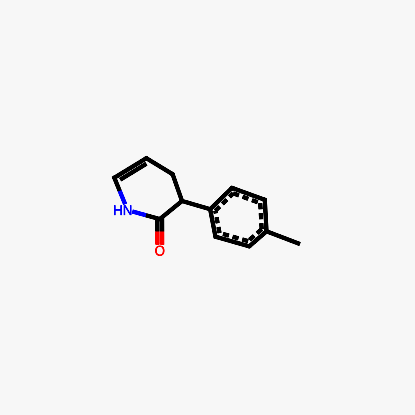 Cc1ccc(C2CC=CNC2=O)cc1